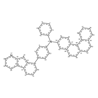 c1ccc(N(c2ccc(-c3cccc4c3sc3ncccc34)cc2)c2ccc3c(ccc4ccc5ccccc5c43)c2)cc1